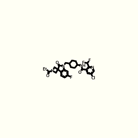 CCC(=O)N1CC2(C1)C(=O)N(CC1CCC(NC(=O)c3cc(Cl)cnc3C(F)F)CC1)c1cc(F)ccc12